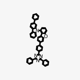 c1ccc(-c2ccc3c4ccccc4n(-c4cccc5oc6cc(-c7ccc(-c8nc(-c9ccccc9)nc(-c9ccccc9)n8)cc7)ccc6c45)c3c2)cc1